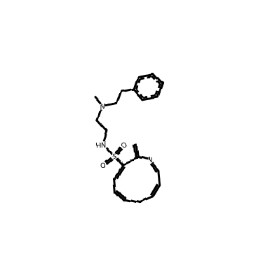 C=C1/N=C\C=C/C/C=C\C=C/1S(=O)(=O)NCCN(C)CCc1ccccc1